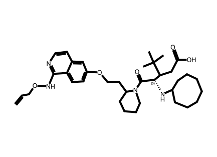 C=CCONc1nccc2cc(OCCC3CCCCN3C(=O)[C@@H](NC3CCCCCCC3)C(CC(=O)O)C(C)(C)C)ccc12